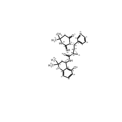 CC1(C)CC(=O)N([C@H](c2cccnc2)[C@@H]2C[C@H]2C(=O)NC2CC(C)(C)Oc3cccc(Cl)c32)C(=N)N1